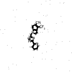 N#Cc1ccc2c(ccn2Cc2nc(-c3ccccn3)no2)c1C(F)(F)F